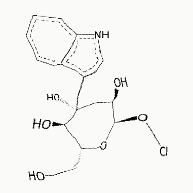 OC[C@H]1O[C@H](OCl)[C@H](O)[C@](O)(c2c[nH]c3ccccc23)[C@@H]1O